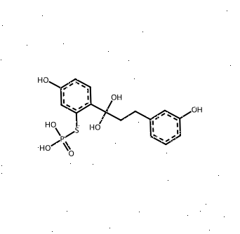 O=P(O)(O)Sc1cc(O)ccc1C(O)(O)CCc1cccc(O)c1